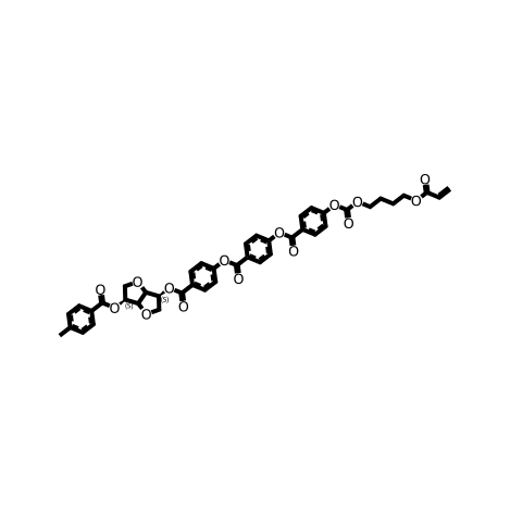 C=CC(=O)OCCCCOC(=O)Oc1ccc(C(=O)Oc2ccc(C(=O)Oc3ccc(C(=O)O[C@H]4COC5C4OC[C@@H]5OC(=O)c4ccc(C)cc4)cc3)cc2)cc1